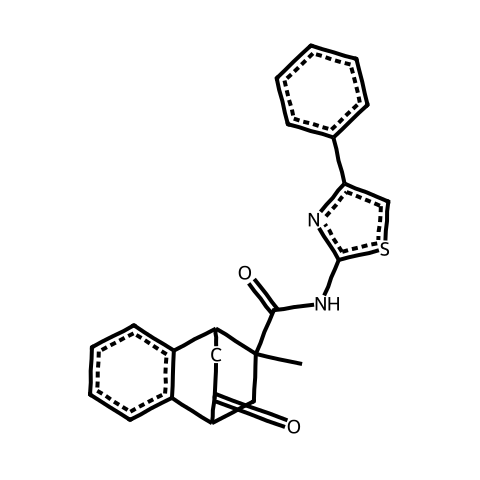 CC1(C(=O)Nc2nc(-c3ccccc3)cs2)CC2C(=O)CC1c1ccccc12